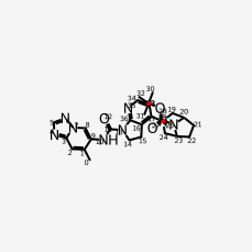 Cc1cc2ncnn2cc1NC(=O)N1CCc2c(N3CC4CCC(C3)N4C(=O)OC(C)(C)C)ccnc21